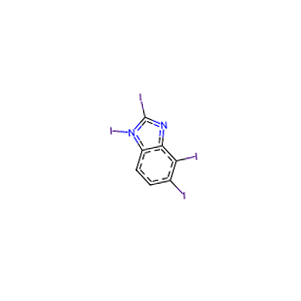 Ic1ccc2c(nc(I)n2I)c1I